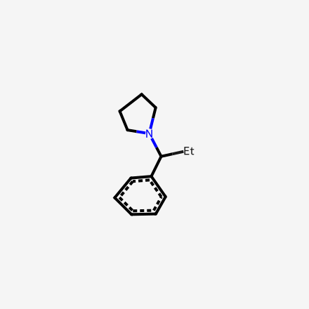 CCC(c1ccccc1)N1CCCC1